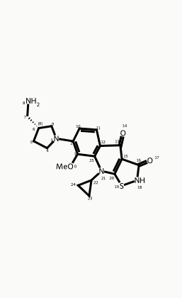 COc1c(N2CC[C@H](CN)C2)ccc2c(=O)c3c(=O)[nH]sc3n(C3CC3)c12